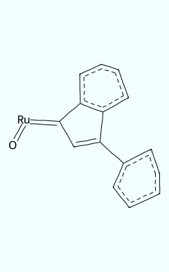 [O]=[Ru]=[C]1C=C(c2ccccc2)c2ccccc21